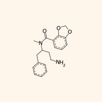 CN(C(=O)c1cccc2c1OCO2)C(CCN)Cc1ccccc1